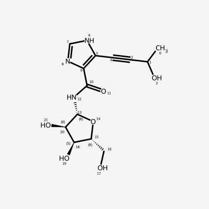 CC(O)C#Cc1[nH]cnc1C(=O)N[C@@H]1O[C@H](CO)[C@@H](O)[C@H]1O